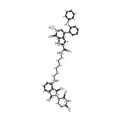 Cn1cc(-c2ccccc2Oc2ccccc2)c2cc(C(=O)NCCCCCCNc3cccc4c3C(=O)N(C3CCC(=O)NC3=O)C4=O)[nH]c2c1=O